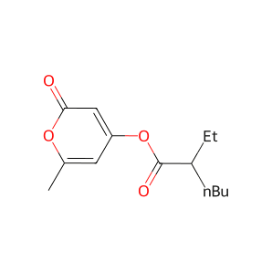 CCCCC(CC)C(=O)Oc1cc(C)oc(=O)c1